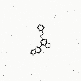 c1ccc(COc2cc(-c3ccc4nccn4n3)c3c(n2)CCC3)nc1